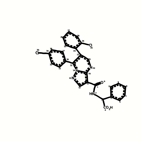 O=C(NC(C(=O)O)c1ccccc1)c1cnn2c(-c3ccc(Cl)cc3)c(-c3ccccc3Cl)cnc12